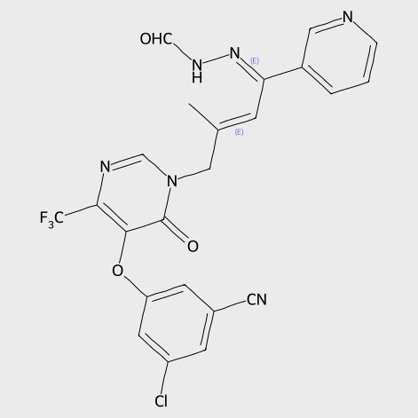 C/C(=C\C(=N/NC=O)c1cccnc1)Cn1cnc(C(F)(F)F)c(Oc2cc(Cl)cc(C#N)c2)c1=O